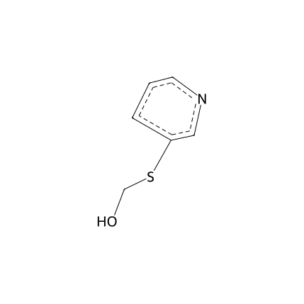 OCSc1cccnc1